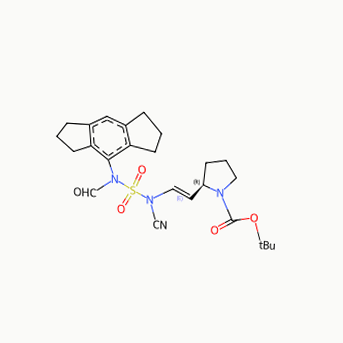 CC(C)(C)OC(=O)N1CCC[C@@H]1/C=C/N(C#N)S(=O)(=O)N(C=O)c1c2c(cc3c1CCC3)CCC2